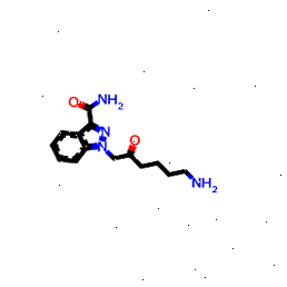 NCCCCC(=O)Cn1nc(C(N)=O)c2ccccc21